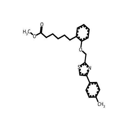 COC(=O)CCCCCc1ccccc1OCc1nc(-c2ccc(C)cc2)cs1